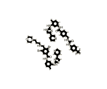 Cc1ccc(NC(=O)c2cc(Br)c(CNCCCN3CCOCC3)c(Br)c2)cc1Nc1nc(-c2cccnc2)cs1.Cc1ccc(NC(=O)c2ccc(CNC(=O)Nc3ccc(C(F)(F)F)cc3)cc2)cc1Nc1nc(-c2cccnc2)c[nH]1